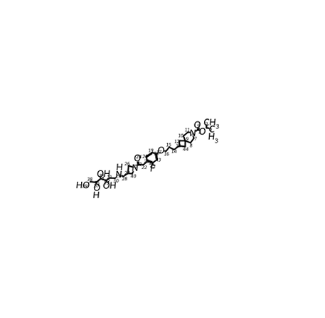 CC(C)OC(=O)N1CCC2(CC1)CC(CCCOc1ccc(CC(=O)N3CC(CNCC[C@@H](O)[C@H](O)C(O)CO)C3)c(F)c1)C2